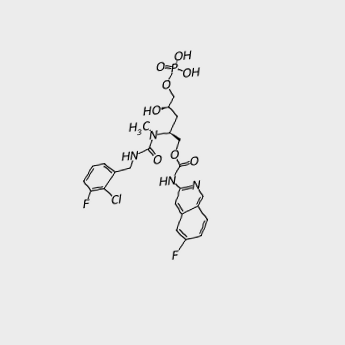 CN(C(=O)NCc1cccc(F)c1Cl)[C@H](COC(=O)Nc1cc2cc(F)ccc2cn1)C[C@@H](O)COP(=O)(O)O